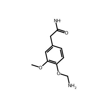 COc1cc(CC([NH])=O)ccc1OCN